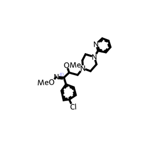 CO/N=C(\c1ccc(Cl)cc1)C(CN1CCN(c2ccccn2)CC1)OC